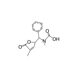 CC1=CC(C(c2ccccc2)N(C)C(=O)O)OC1=O